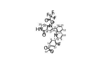 CS(=O)(=O)c1ccc(-c2ccc3cccc(-c4cc5c(n4OC(=O)C(F)(F)F)CCNC5=O)c3n2)c(F)c1